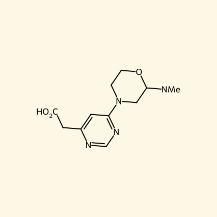 CNC1CN(c2cc(CC(=O)O)ncn2)CCO1